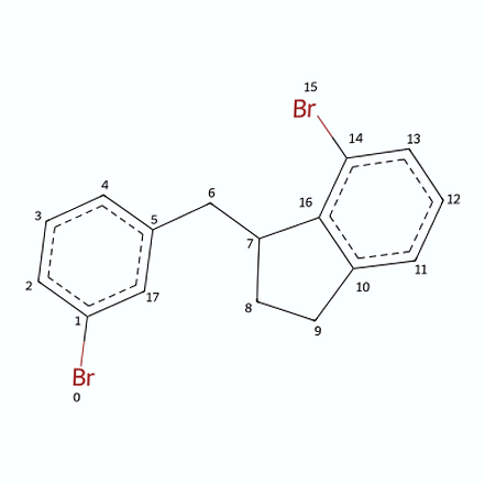 Brc1cccc(CC2CCc3cccc(Br)c32)c1